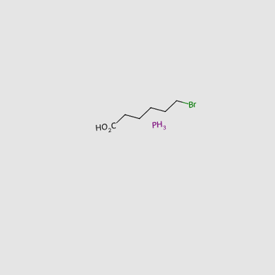 O=C(O)CCCCCBr.P